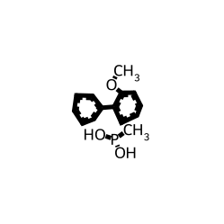 COc1ccccc1-c1ccccc1.CP(O)O